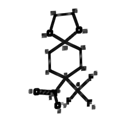 O=[N+]([O-])C1(C(F)(F)F)CCC2(CC1)OCCO2